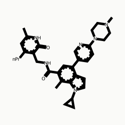 CCCc1cc(C)[nH]c(=O)c1CNC(=O)c1cc(-c2ccc(N3CCN(C)CC3)nc2)c2ccn(C3CC3)c2c1C